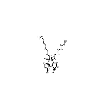 CCCCCCCCC1(O)C2=C(C(=S)C=C2)C2=C(C=CC2=S)C1(O)CCCCCCCC